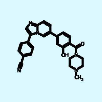 CN1CCN(C(=O)c2ccc(-c3ccc4ncc(-c5ccc(C#N)cc5)n4c3)cc2O)CC1